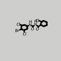 O=C(NC(=O)c1ccccc1Cl)Nc1cc(Cl)c(Br)c(Cl)c1